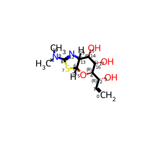 C=C[C@@H](O)[C@H]1O[C@@H]2SC(N(C)C)=N[C@@H]2[C@@H](O)[C@@H]1O